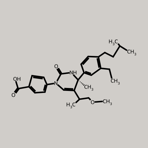 CCc1cc([C@]2(C)NC(=O)N(c3ccc(C(=O)O)cc3)C=C2C(C)COC)ccc1CCC(C)C